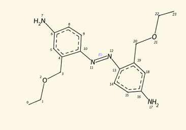 CCOCc1cc(N)ccc1/N=N/c1ccc(N)cc1COCC